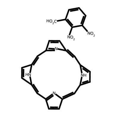 C1=Cc2cc3ccc(cc4nc(cc5ccc(cc1n2)[nH]5)C=C4)[nH]3.O=C(O)c1cccc([N+](=O)[O-])c1[N+](=O)[O-]